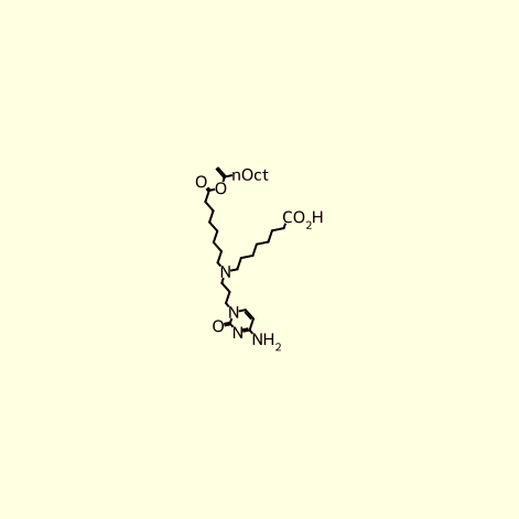 C=C(CCCCCCCC)OC(=O)CCCCCCCN(CCCCCCCC(=O)O)CCCn1ccc(N)nc1=O